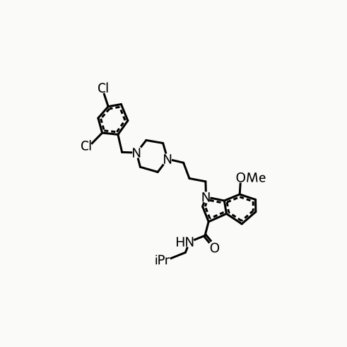 COc1cccc2c(C(=O)NCC(C)C)cn(CCCN3CCN(Cc4ccc(Cl)cc4Cl)CC3)c12